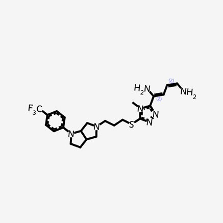 Cn1c(SCCCN2CC3CCN(c4ccc(C(F)(F)F)cc4)C3C2)nnc1/C(N)=C/C=C\N